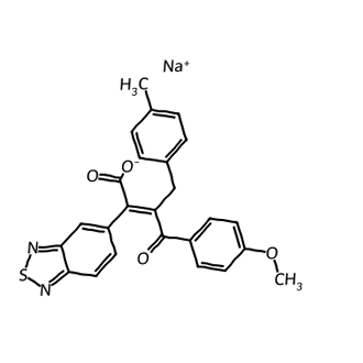 COc1ccc(C(=O)C(Cc2ccc(C)cc2)=C(C(=O)[O-])c2ccc3nsnc3c2)cc1.[Na+]